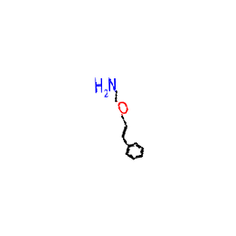 NCCOCC=Cc1ccccc1